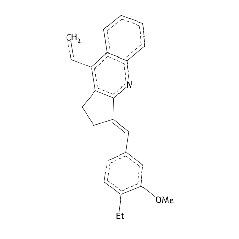 C=Cc1c2c(nc3ccccc13)/C(=C/c1ccc(CC)c(OC)c1)CC2